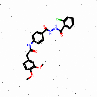 COc1ccc(CC(=O)Nc2ccc(C(=O)NNC(=O)c3ccccc3Cl)cc2)cc1OC